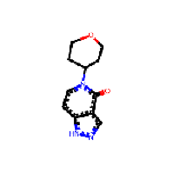 O=c1c2cn[nH]c2ccn1C1CCOCC1